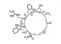 C[C@H]1CCC(=O)CCNCCCC[C@@H](C(N)=O)N[C@@H](O)[C@H](Cc2c[nH]c3ccccc23)N[C@@H](O)[C@H](CCCNC(=N)N)NC(=O)[C@@H](Cc2ccccc2)NC(=O)[C@@H]2C[C@@H](O)CN2C1=O